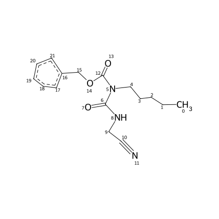 CCCCCN(C(=O)NCC#N)C(=O)OCc1ccccc1